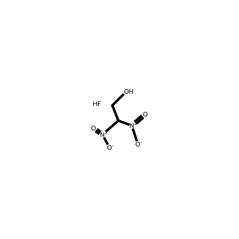 F.O=[N+]([O-])C(CO)[N+](=O)[O-]